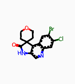 O=C1Nc2cnc3cc(Cl)c(Br)cc3c2C12CCOCC2